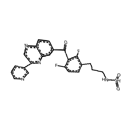 O=C(c1ccc2ncc(-c3cccnc3)nc2c1)c1c(F)ccc(CCCN[SH](=O)=O)c1F